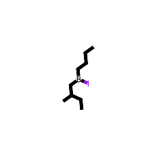 CCCCB(I)CC(C)CC